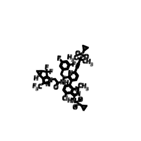 Cn1nc(NS(=O)(=O)C2CC2)c2c(Cl)ccc(-c3ccc(C#CC(C)(C)S(=O)(=O)C4CC4)nc3[C@H](Cc3cc(F)cc(F)c3)NC(=O)Cn3nc(C(F)(F)F)c4c3C(F)(F)C3C[C@H]43)c21